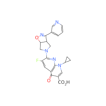 O=C(O)c1cn(C2CC2)c2nc(N3CC4ON=C(c5cccnc5)C4C3)c(F)cc2c1=O